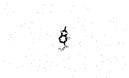 Cc1nc2ccc(NN)cc2s1.Cl